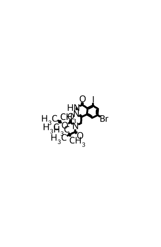 CC(C)(C)OC(=O)N(Cc1n[nH]c(=O)c2c(I)cc(Br)cc12)C(=O)C(C)(C)C